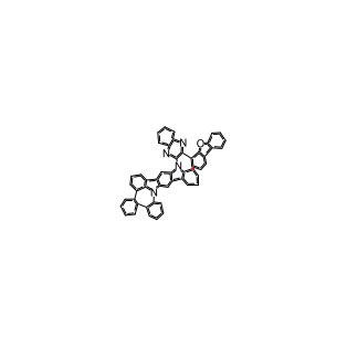 c1ccc2c(c1)-c1ccccc1-n1c3cc4c5ccccc5n(-c5nc6ccccc6nc5-c5cccc6c5oc5ccccc56)c4cc3c3cccc-2c31